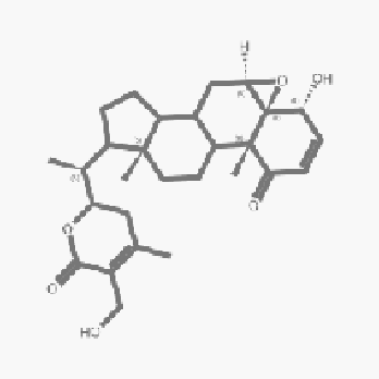 CC1=C(CO)C(=O)OC([C@@H](C)C2CCC3C4C[C@H]5O[C@]56[C@H](O)C=CC(=O)[C@]6(C)C4CC[C@@]32C)C1